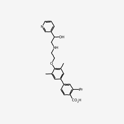 Cc1cc(-c2ccc(C(=O)O)c(C(C)C)c2)cc(C)c1OCCNCC(O)c1cccnc1